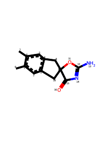 Cc1cc2c(cc1C)CC1(C2)OC(N)=NC1=O